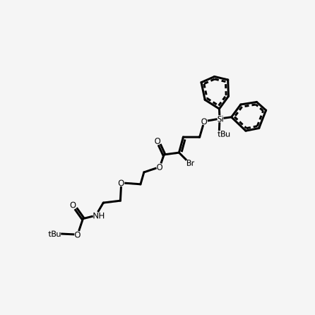 CC(C)(C)OC(=O)NCCOCCOC(=O)/C(Br)=C/CO[Si](c1ccccc1)(c1ccccc1)C(C)(C)C